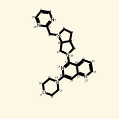 c1cnc(CN2CCC3CN(c4nc(N5CCOCC5)cc5ncccc45)CC32)nc1